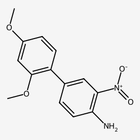 COc1ccc(-c2ccc(N)c([N+](=O)[O-])c2)c(OC)c1